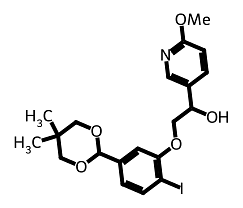 COc1ccc(C(O)COc2cc(C3OCC(C)(C)CO3)ccc2I)cn1